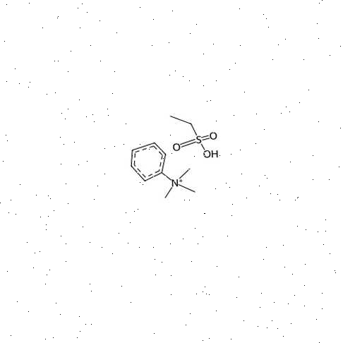 CCS(=O)(=O)O.C[N+](C)(C)c1ccccc1